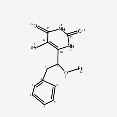 CCOC(Cc1ccccc1)c1[nH]c(=O)[nH]c(=O)c1C(C)C